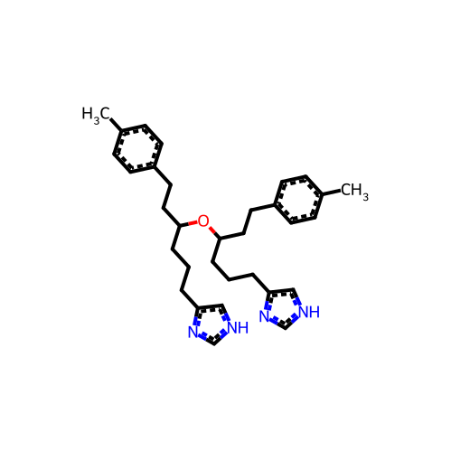 Cc1ccc(CCC(CCCc2c[nH]cn2)OC(CCCc2c[nH]cn2)CCc2ccc(C)cc2)cc1